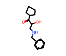 O=C(C(O)CNCc1ccccc1)C1CCCC1